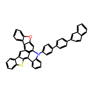 c1ccc(N(c2ccc(-c3ccc(-c4ccc5ccccc5c4)cc3)cc2)c2ccc3c(c2)oc2ccccc23)c(-c2cccc3c2sc2ccccc23)c1